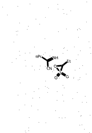 CCC1OS1(=O)=O.CCCC(=N)C#N